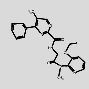 Cc1cnc(C(=O)NCC(=O)N(C)c2ncccc2OCF)nc1-c1ccccc1